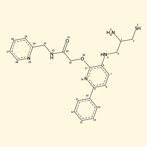 NC(CS)CNc1ccc(-c2ccccc2)nc1OCC(=O)NCc1ccccn1